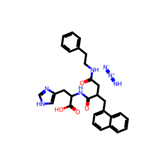 O=C(CC(Cc1cccc2ccccc12)C(=O)NC(Cc1c[nH]cn1)C(=O)O)NCCc1ccccc1.[N-]=[N+]=N